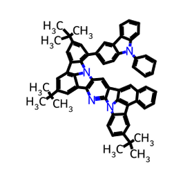 CC(C)(C)c1ccc2c(c1)c1c3ccccc3cc3c4cc5c(nc4n2c31)c1cc(C(C)(C)C)cc2c3cc(C(C)(C)C)cc(-c4ccc6c(c4)c4ccccc4n6-c4ccccc4)c3n5c21